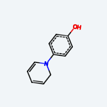 Oc1ccc(N2C=CC=CC2)cc1